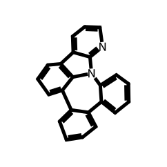 c1ccc2c(c1)-c1ccccc1-n1c3ncccc3c3cccc-2c31